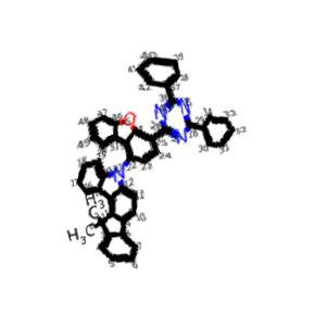 CC1(C)c2ccccc2-c2ccc3c(c21)c1ccccc1n3-c1ccc(-c2nc(-c3ccccc3)nc(-c3ccccc3)n2)c2oc3ccccc3c12